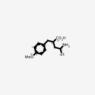 CCC(N)CC(Cc1ccc(OC)cc1)C(=O)O